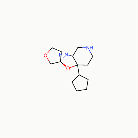 NC1CNCCC1(O[C@@H]1CCOC1)C1CCCC1